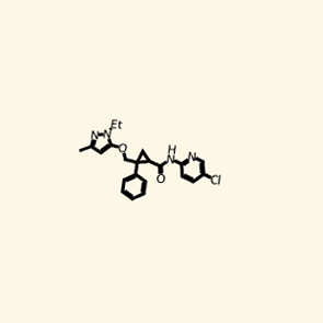 CCn1nc(C)cc1OCC1(c2ccccc2)CC1C(=O)Nc1ccc(Cl)cn1